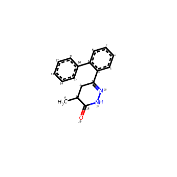 CC1CC(c2ccccc2-c2ccccc2)=NNC1=O